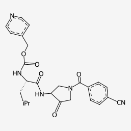 CC(C)C[C@H](NC(=O)OCc1ccncc1)C(=O)NC1CN(C(=O)c2ccc(C#N)cc2)CC1=O